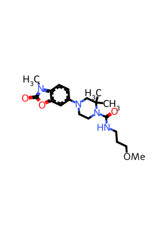 COCCCNC(=O)N1CCN(c2ccc3c(c2)oc(=O)n3C)CC1(C)C